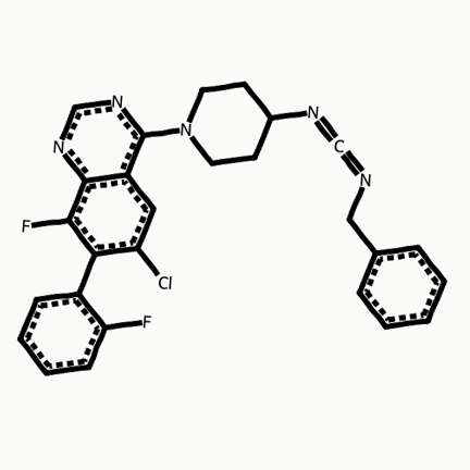 Fc1ccccc1-c1c(Cl)cc2c(N3CCC(N=C=NCc4ccccc4)CC3)ncnc2c1F